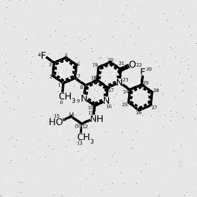 Cc1cc(F)ccc1-c1nc(N[C@@H](C)CO)nc2c1ccc(=O)n2-c1ccccc1F